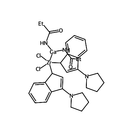 CCC(=O)[NH][Ga]([NH]C(=O)CC)[Zr]([Cl])([Cl])([CH]1C=C(N2CCCC2)c2ccccc21)[CH]1C=C(N2CCCC2)c2ccccc21